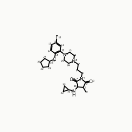 CC1C(=O)N(CCCN2CCN(c3cc(F)ccc3OC3CCCC3)CC2)C(=O)C1NC1CC1